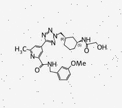 COc1cccc(CNC(=O)c2cc(-c3nnn(C[C@@H]4CCC[C@H](NC(=O)CO)C4)n3)cc(C)n2)c1